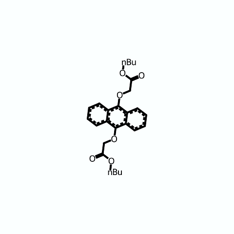 CCCCOC(=O)COc1c2ccccc2c(OCC(=O)OCCCC)c2ccccc12